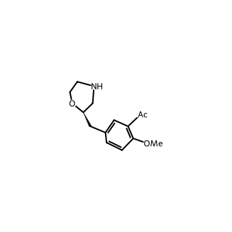 COc1ccc(C[C@@H]2CNCCO2)cc1C(C)=O